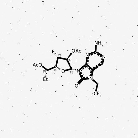 CC[C@H](OC(C)=O)[C@H]1O[C@@H](n2c(=O)n(CC(F)(F)F)c3cnc(N)nc32)[C@H](OC(C)=O)[C@H]1F